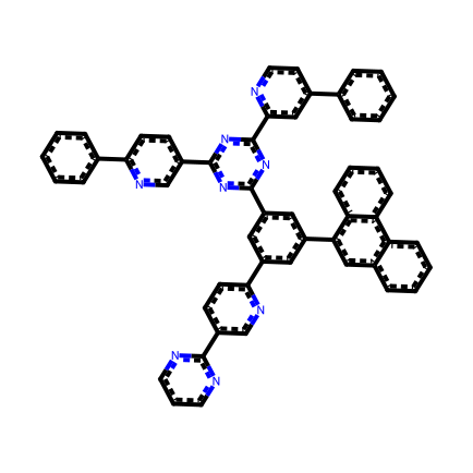 c1ccc(-c2ccnc(-c3nc(-c4ccc(-c5ccccc5)nc4)nc(-c4cc(-c5ccc(-c6ncccn6)cn5)cc(-c5cc6ccccc6c6ccccc56)c4)n3)c2)cc1